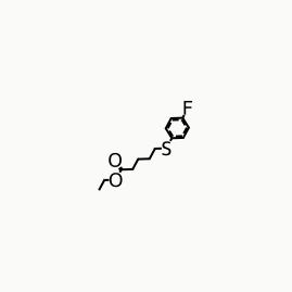 CCOC(=O)CCCCSc1ccc(F)cc1